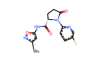 CC(C)(C)c1cc(NC(=O)[C@@H]2CCC(=O)N2c2ccc(F)cn2)on1